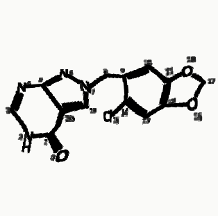 O=c1[nH]cnc2nn(Cc3cc4c(cc3Cl)OCO4)cc12